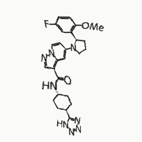 COc1ccc(F)cc1[C@H]1CCCN1c1ccn2ncc(C(=O)N[C@H]3CC[C@H](c4nnn[nH]4)CC3)c2c1